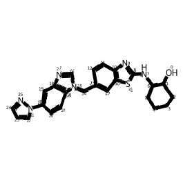 OC1CCCCC1Nc1nc2ccc(Cn3cnc4cc(-n5cccn5)ccc43)cc2s1